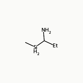 [CH2]CC(N)[SiH2]C